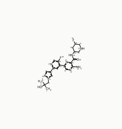 CC(C)(O)Cn1cc(-c2cc(-c3cnc(N)c(C(=O)NC4CNCC(F)C4)n3)c(F)cn2)cn1